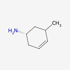 CC1C=CC[C@H](N)C1